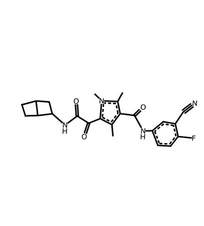 Cc1c(C(=O)Nc2ccc(F)c(C#N)c2)c(C)n(C)c1C(=O)C(=O)NC1CC2CCC21